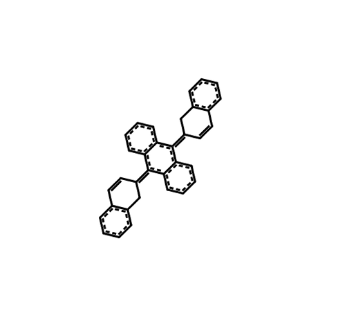 C1=Cc2ccccc2CC1=c1c2ccccc2c(=C2C=Cc3ccccc3C2)c2ccccc12